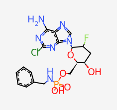 Nc1nc(Cl)nc2c1ncn2[C@@H]1O[C@H](COP(=O)(O)NCc2ccccc2)[C@H](O)CC1F